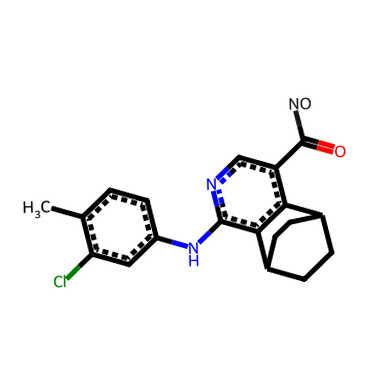 Cc1ccc(Nc2ncc(C(=O)N=O)c3c2C2CCC3CC2)cc1Cl